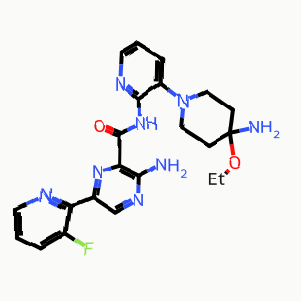 CCOC1(N)CCN(c2cccnc2NC(=O)c2nc(-c3ncccc3F)cnc2N)CC1